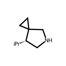 CC(C)[C@H]1CNCC12CC2